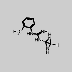 Cc1ccccc1NC(=N)N[C@]12N[C@@H]1N2